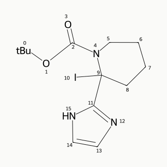 CC(C)(C)OC(=O)N1CCCCC1(I)c1ncc[nH]1